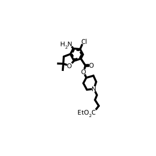 CCOC(=O)CCCN1CCC(OC(=O)c2cc(Cl)c(N)c3c2OC(C)(C)C3)CC1